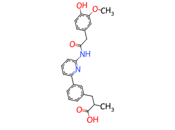 COc1cc(CC(=O)Nc2cccc(-c3cccc(CC(C)C(=O)O)c3)n2)ccc1O